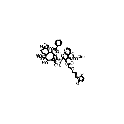 CC(=O)O[C@@]12CO[C@@H]1C[C@H](O)[C@@]1(C)C(=O)[C@H](O)C3=C(C)C(OC(=O)C(OC(=O)COCCCN4C(=O)C=CC4=O)C(NC(=O)OC(C)(C)C)c4ccccc4)C[C@@](O)(C(OC(=O)c4ccccc4)C12)C3(C)C